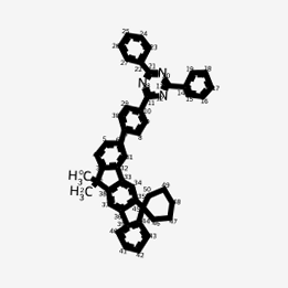 CC1(C)c2ccc(-c3ccc(-c4nc(-c5ccccc5)nc(-c5ccccc5)n4)cc3)cc2-c2cc3c(cc21)-c1ccccc1C31CCCCC1